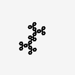 c1ccc(P(c2ccccc2)c2ccc(N(c3ccc(-c4c5ccccc5c(-c5ccc(N(c6ccc(P(c7ccccc7)c7ccccc7)cc6)c6ccc(P(c7ccccc7)c7ccccc7)cc6)cc5)c5ccccc45)cc3)c3ccc(P(c4ccccc4)c4ccccc4)cc3)cc2)cc1